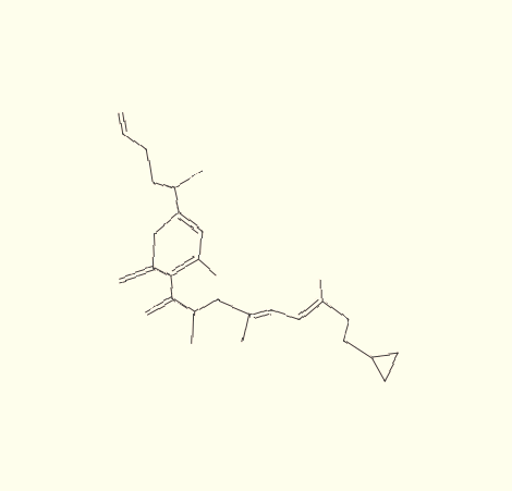 C=CCCC(C)C1=CC(C)=C(C(=C)C(C)C/C(C)=C/C=C(\C)CCC2CC2)C(=C)C1